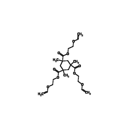 C=COCCOC(=O)C1(C)CC(C)(C(=O)OCCOC=C)CC(C)(C(=O)OCCOC=C)C1